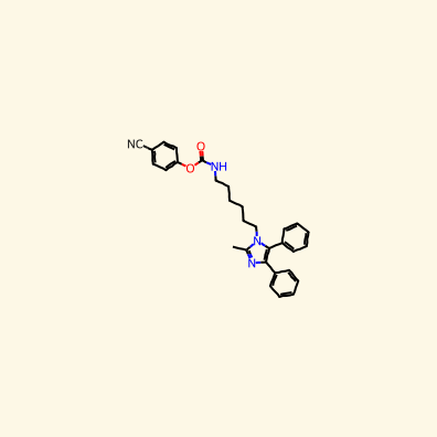 Cc1nc(-c2ccccc2)c(-c2ccccc2)n1CCCCCCNC(=O)Oc1ccc(C#N)cc1